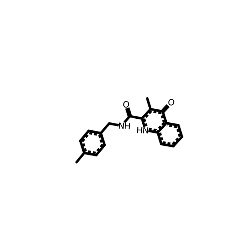 Cc1ccc(CNC(=O)c2[nH]c3ccccc3c(=O)c2C)cc1